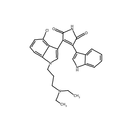 CCN(CC)CCCn1cc(C2=C(c3c[nH]c4ccccc34)C(=O)NC2=O)c2c(Cl)cccc21